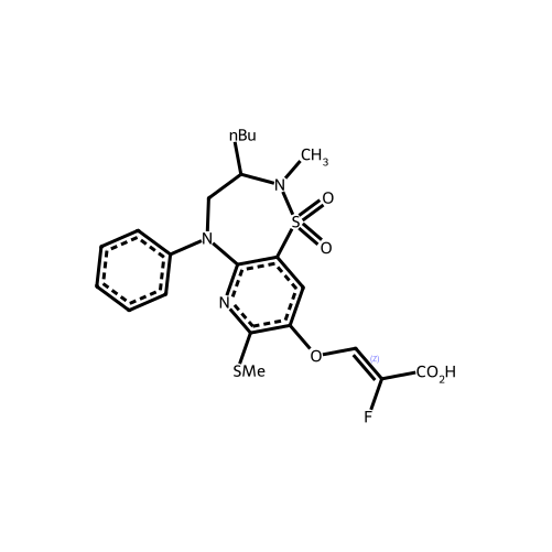 CCCCC1CN(c2ccccc2)c2nc(SC)c(O/C=C(\F)C(=O)O)cc2S(=O)(=O)N1C